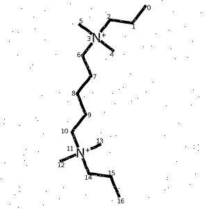 CCC[N+](C)(C)CCCCC[N+](C)(C)CCC